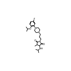 CC(C)NC1C(=O)N(CCCN2CCN(c3cc(F)ccc3OC(C)C)CC2)C(=O)C1C